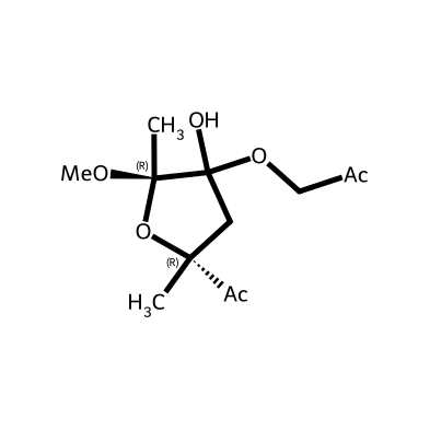 CO[C@]1(C)O[C@@](C)(C(C)=O)CC1(O)OCC(C)=O